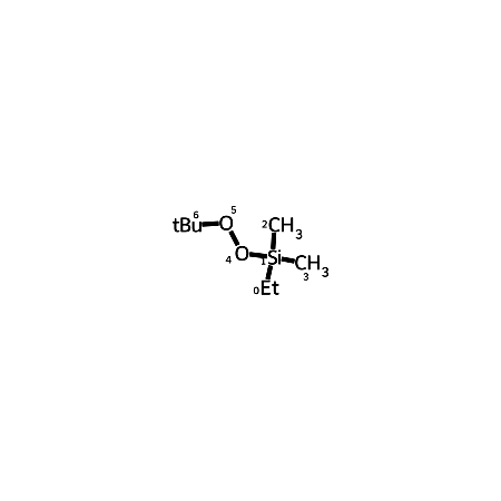 CC[Si](C)(C)OOC(C)(C)C